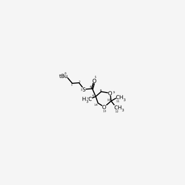 CC(C)(C)CCSC(=O)C1(C)COC(C)(C)OC1